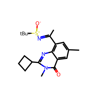 CC(=N[S@+]([O-])C(C)(C)C)c1cc(C)cc2c(=O)n(C)c(C3CCC3)nc12